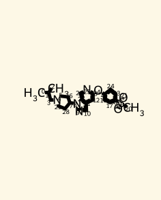 CC(C)CN1CCC(n2ncc3cc(Oc4ccc(S(C)(=O)=O)cc4)ncc32)CC1